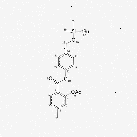 CC(=O)Oc1cc(C)ccc1C(=O)Oc1ccc(CO[Si](C)(C)C(C)(C)C)cc1